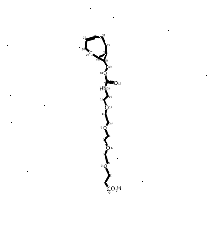 O=C(O)CCOCCOCCOCCOCCNC(=O)OCC1C2CC/C=C\CCC21